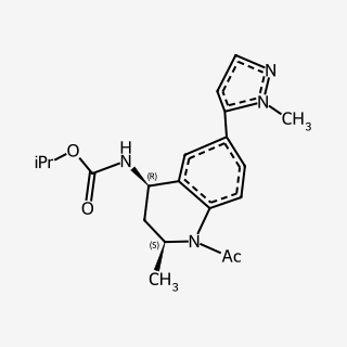 CC(=O)N1c2ccc(-c3ccnn3C)cc2[C@H](NC(=O)OC(C)C)C[C@@H]1C